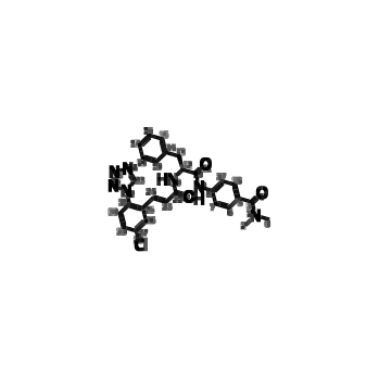 CN(C)C(=O)c1ccc(NC(=O)[C@H](Cc2ccccc2)NC(=O)/C=C/c2cc(Cl)ccc2-n2cnnn2)cc1